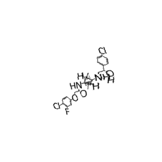 C[C@H]1C2(NCC(O)c3ccc(Cl)cc3)CC1(NC(=O)COc1ccc(Cl)c(F)c1)[C@H]2C